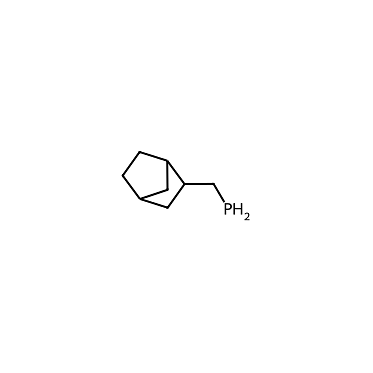 PCC1CC2CCC1C2